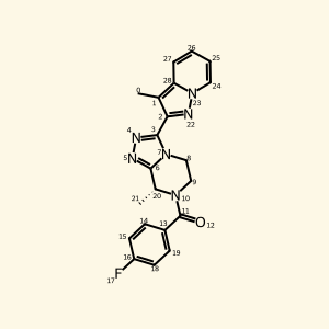 Cc1c(-c2nnc3n2CCN(C(=O)c2ccc(F)cc2)[C@@H]3C)nn2ccccc12